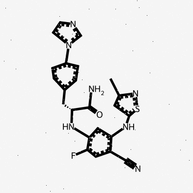 Cc1cc(Nc2cc(N[C@H](Cc3ccc(-n4ccnc4)cc3)C(N)=O)c(F)cc2C#N)sn1